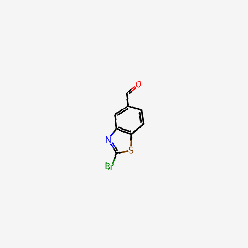 O=Cc1ccc2sc(Br)nc2c1